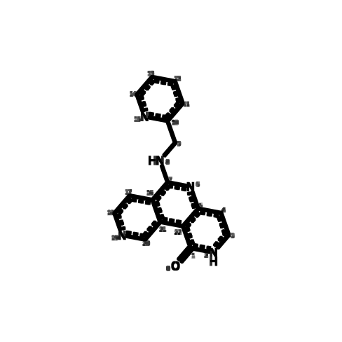 O=c1[nH]ccc2nc(NCc3ccccn3)c3ccncc3c12